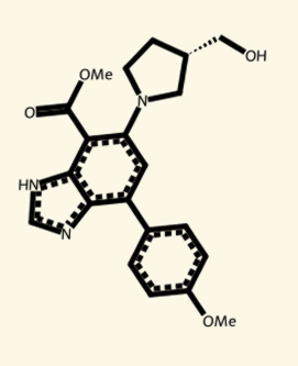 COC(=O)c1c(N2CC[C@H](CO)C2)cc(-c2ccc(OC)cc2)c2nc[nH]c12